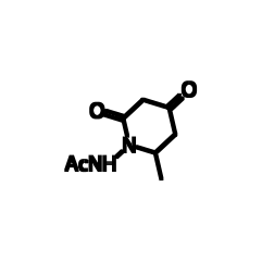 CC(=O)NN1C(=O)CC(=O)CC1C